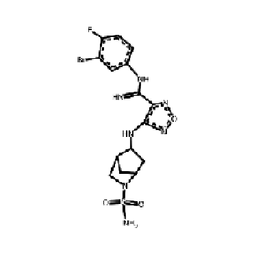 N=C(Nc1ccc(F)c(Br)c1)c1nonc1NC1CC2CC1CN2S(N)(=O)=O